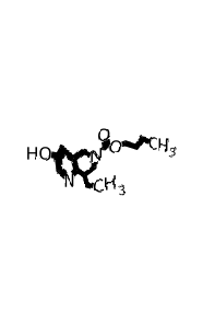 CCCCOC(=O)N1Cc2cc(O)cnc2C(CC)C1